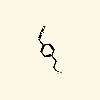 [N-]=[N+]=Nc1ccc(CCO)cc1